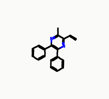 C=Cc1nc(-c2ccccc2)c(-c2ccccc2)nc1C